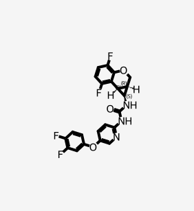 O=C(Nc1ccc(Oc2ccc(F)c(F)c2)cn1)N[C@@H]1[C@@H]2COc3c(F)ccc(F)c3[C@@H]21